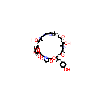 C/C1=C\[C@@H](C)C(=O)C[C@@H]([C@H](C)C[C@H]2CC[C@H](O)CC2)OC(=O)C2CCCN2C(=O)C(=O)[C@]2(O)O[C@@H](CC[C@H]2C)C[C@H](O)/C(C)=C/C=C/C=C/[C@@H](C)CCC(=O)C[C@@H]1O